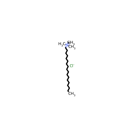 CCCCCCCCCCCCCCCCCC[N+](C)(C)[SiH3].[Cl-]